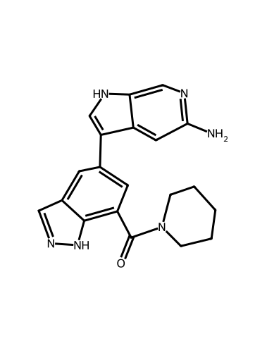 Nc1cc2c(-c3cc(C(=O)N4CCCCC4)c4[nH]ncc4c3)c[nH]c2cn1